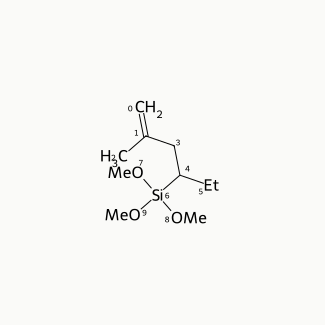 C=C(C)CC(CC)[Si](OC)(OC)OC